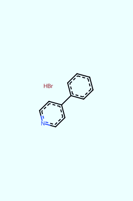 Br.c1ccc(-c2ccncc2)cc1